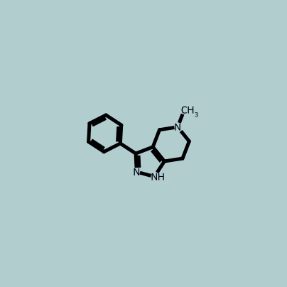 CN1CCc2[nH]nc(-c3ccccc3)c2C1